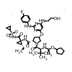 C=C[C@@H]1C[C@]1(NC(=O)[C@@H]1C[C@@H](Oc2cc(NCCO)nc(Nc3ccc(F)cc3)n2)CN1C(=O)[C@@H](NC(=O)OC1CCCC1)C(C)(C)C)C(=O)NS(=O)(=O)C1CC1